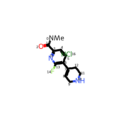 CNC(=O)c1ccc(C2=CCNCC2)c(F)n1.Cl